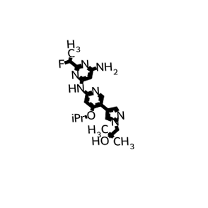 CC(C)Oc1cc(Nc2cc(N)nc(C(C)F)n2)ncc1-c1cnn(CC(C)(C)O)c1